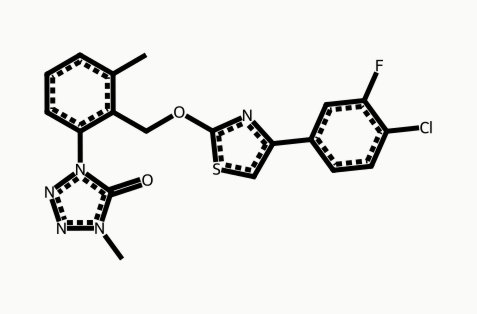 Cc1cccc(-n2nnn(C)c2=O)c1COc1nc(-c2ccc(Cl)c(F)c2)cs1